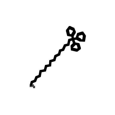 PCCCCCCCCCCCCCCCCCC(c1ccccc1)(c1ccccc1)c1ccccc1